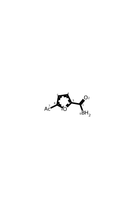 BC(=O)c1ccc(C(C)=O)o1